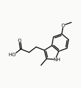 COc1ccc2[nH]c(C)c(CCC(=O)O)c2c1